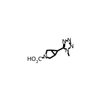 Cn1nnnc1C1C2CN(C(=O)O)CC21